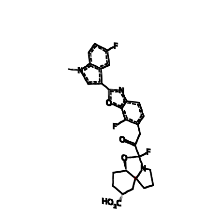 Cn1cc(-c2nc3ccc(CC(=O)C(F)(O[C@H]4CC[C@H](C(=O)O)CC4)N4CCCC4)c(F)c3o2)c2cc(F)ccc21